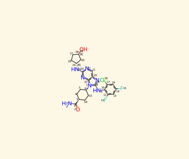 NC(=O)[C@H]1CC[C@@H](n2c(Nc3c(F)cc(F)cc3Cl)nc3cnc(N[C@@H]4CC[C@@H](O)C4)nc32)CC1